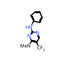 CNc1nc(Nc2[c]cccc2)ncc1C(F)(F)F